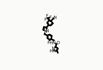 Cc1cc(C(=O)NCc2ccc(Cn3ccc(-c4ccc(C#N)c(C(F)(F)F)c4)n3)cc2F)n[nH]1